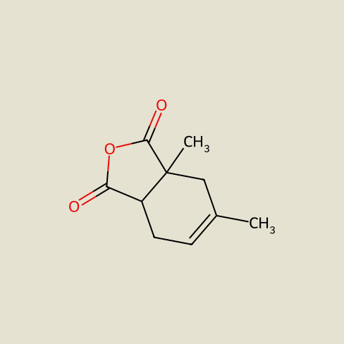 CC1=CCC2C(=O)OC(=O)C2(C)C1